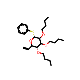 C=CC1O[C@H](Sc2ccccc2)C(OCCCC)C(OCCCC)[C@@H]1OCCCC